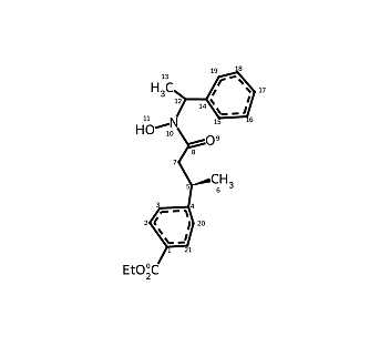 CCOC(=O)c1ccc([C@H](C)CC(=O)N(O)C(C)c2ccccc2)cc1